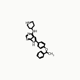 CC(Oc1ccc(-c2cc3c(NC4CCNCC4)ncnc3[nH]2)cc1)c1ccccc1